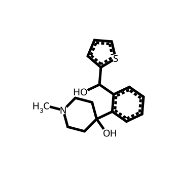 CN1CCC(O)(c2ccccc2C(O)c2cccs2)CC1